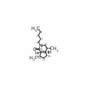 CCCCCN1C[C@@H](C)[C@H]2CC[C@H](C)[C@H]2C1=O